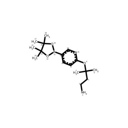 CC(C)(CCN)Oc1ccc(B2OC(C)(C)C(C)(C)O2)cn1